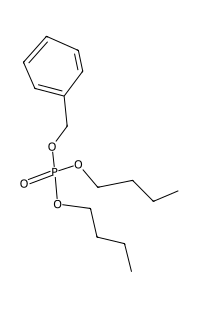 CCCCOP(=O)(OCCCC)OCc1ccccc1